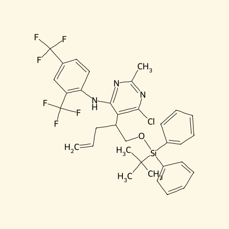 C=CCC(CO[Si](c1ccccc1)(c1ccccc1)C(C)(C)C)c1c(Cl)nc(C)nc1Nc1ccc(C(F)(F)F)cc1C(F)(F)F